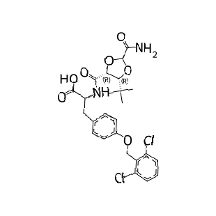 CC(C)(C)[C@H]1OC(C(N)=O)O[C@H]1C(=O)NC(Cc1ccc(OCc2c(Cl)cccc2Cl)cc1)C(=O)O